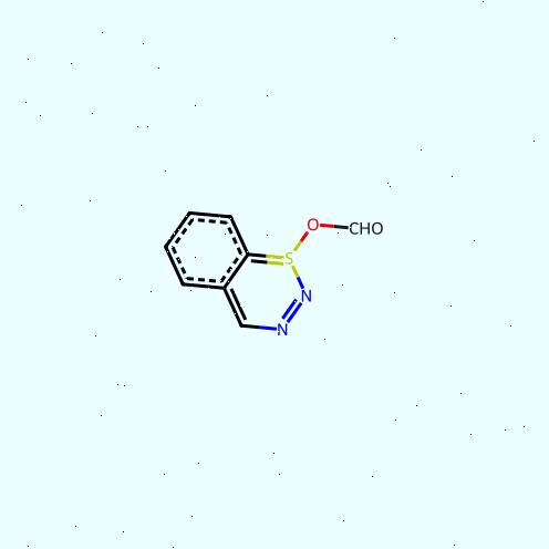 O=COS1=c2ccccc2=CN=N1